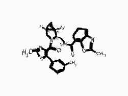 Cc1cccc(-c2sc(C)nc2C(=O)N2C[C@@H]3C[C@@H]3[C@H]2CNC(=O)c2cccc3nc(C)oc23)c1